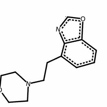 [c]1nc2c(CCN3CCOCC3)cccc2o1